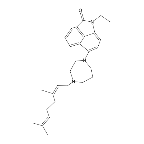 CCN1C(=O)c2cccc3c(N4CCCN(CC=C(C)CCC=C(C)C)CC4)ccc1c23